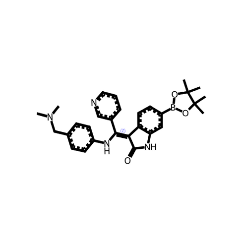 CN(C)Cc1ccc(N/C(=C2\C(=O)Nc3cc(B4OC(C)(C)C(C)(C)O4)ccc32)c2cccnc2)cc1